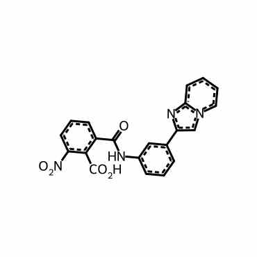 O=C(Nc1cccc(-c2cn3ccccc3n2)c1)c1cccc([N+](=O)[O-])c1C(=O)O